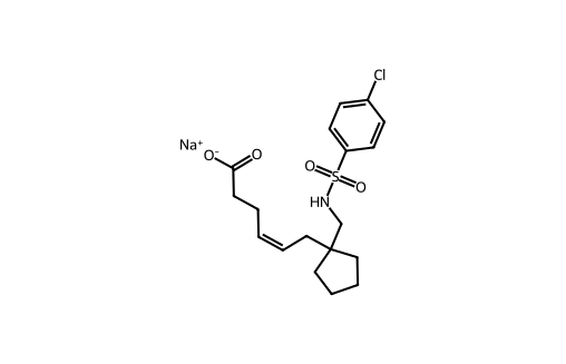 O=C([O-])CC/C=C\CC1(CNS(=O)(=O)c2ccc(Cl)cc2)CCCC1.[Na+]